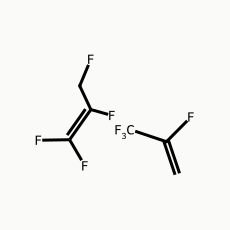 C=C(F)C(F)(F)F.FCC(F)=C(F)F